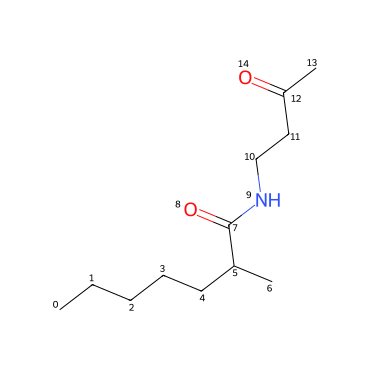 CCCCCC(C)C(=O)NCCC(C)=O